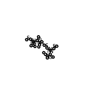 c1ccc2cc3c(cc2c1)c1ccccc1n3-c1cc(-c2nc(-c3ccc4c(c3)sc3ccccc34)nc(-c3ccc4c(c3)sc3cc(-c5cccc6c5c5cc7ccccc7cc5n6-c5cc(-c6nc(-c7ccc8sc9ccccc9c8c7)nc(-n7c8ccccc8c8ccccc87)n6)cc6c5oc5ccccc56)ccc34)n2)cc2c1oc1ccccc12